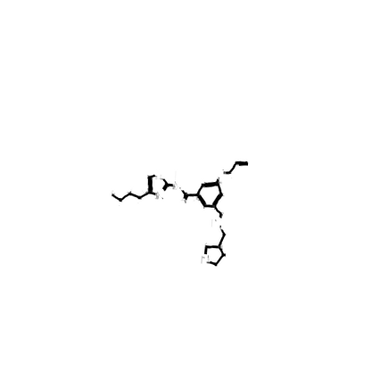 C=CCOc1cc(CNCC2CCNC2)cc(C(=O)Nc2nc(CCCC)cs2)c1